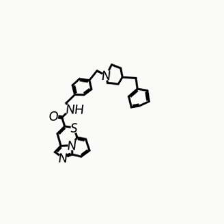 O=C(NCc1ccc(CN2CCC(Cc3ccccc3)CC2)cc1)C1=Cc2cnc3cccc(n23)S1